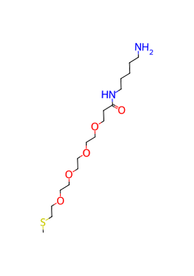 CSCCOCCOCCOCCOCCC(=O)NCCCCCN